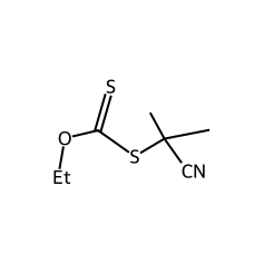 CCOC(=S)SC(C)(C)C#N